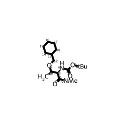 CNC(=O)[C@H](NC(=O)OC(C)(C)C)[C@@H](C)OCC1CCCCC1